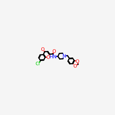 O=C(NC1CCN(Cc2ccc3c(c2)OCO3)CC1)c1cc(=O)c2ccc(Cl)cc2o1